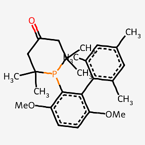 COc1ccc(OC)c(P2C(C)(C)CC(=O)CC2(C)C)c1-c1c(C)cc(C)cc1C